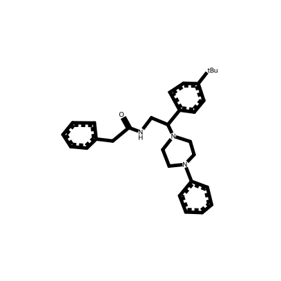 CC(C)(C)c1ccc(C(CNC(=O)Cc2ccccc2)N2CCN(c3ccccc3)CC2)cc1